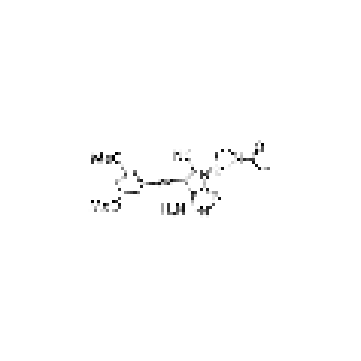 C=CC(=O)N1CC[C@H](n2c(C#N)c(C#Cc3cc(OC)cc(OC)c3)c3c(N)ncnc32)C1